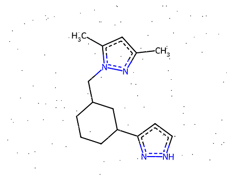 Cc1cc(C)n(CC2CCCC(c3c[c][nH]n3)C2)n1